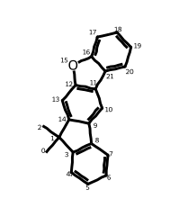 CC1(C)c2[c]cccc2-c2cc3c(cc21)oc1ccccc13